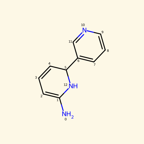 NC1=CC=CC(c2cccnc2)N1